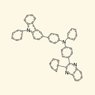 c1ccc(-c2nc3ccccc3nc2-c2ccc(N(c3ccccc3)c3ccc(-c4ccc5c(c4)c4ccccc4n5-c4ccccc4)cc3)cc2)cc1